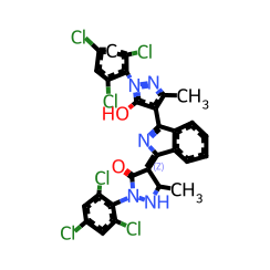 Cc1nn(-c2c(Cl)cc(Cl)cc2Cl)c(O)c1C1=N/C(=C2\C(=O)N(c3c(Cl)cc(Cl)cc3Cl)NC2C)c2ccccc21